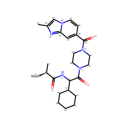 CN[C@@H](C)C(=O)NC(C(=O)N1CCN(C(=O)c2ccn3cc(C)nc3c2)CC1)C1CCCCC1